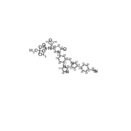 CC(C)(C)OC(=O)NC1(C2CC(=O)N(c3ccc4c(c3)Cn3cc(-c5ccc(C#N)cc5)cc3-c3nccn3-4)C2)COC1